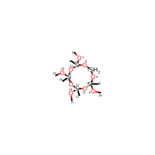 CO[Si]1(C)O[SiH2]O[Si](C)(OC)O[Si](C)(OC)O[Si](C)(OC)O1